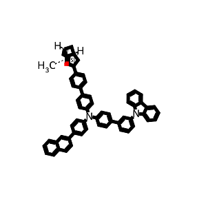 C[C@H]1C[C@H]2C[C@H]3CC(c4ccc(-c5ccc(N(c6ccc(-c7cccc(-n8c9ccccc9c9ccccc98)c7)cc6)c6ccc(-c7ccc8ccccc8c7)cc6)cc5)cc4)(CC23)C1